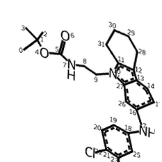 CC(C)(C)OC(=O)NCCn1c2c(c3ccc(Nc4ccc(Cl)c(Cl)c4)cc31)CCCC2